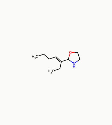 CCC/C=C(\CC)C1NCCO1